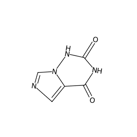 O=c1[nH]c(=O)c2cncn2[nH]1